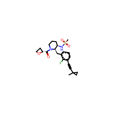 CC1(C#Cc2cccc(C[C@@H]3[C@H](NS(C)(=O)=O)CCCN3C(=O)[C@H]3CCO3)c2F)CC1